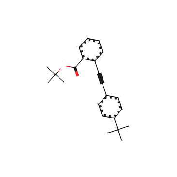 CC(C)(C)OC(=O)c1ccccc1C#Cc1ccc(C(C)(C)C)cc1